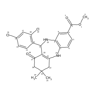 COC(=O)c1ccc2c(c1)NC(c1ccc(Cl)cc1Cl)C1=C(CC(C)(C)CC1=O)N2